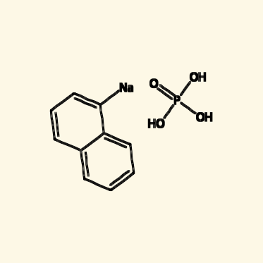 O=P(O)(O)O.[Na][c]1cccc2ccccc12